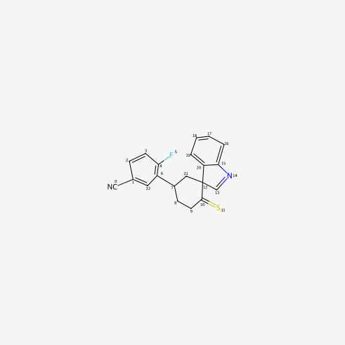 N#Cc1ccc(F)c(C2CCC(=S)C3(C=Nc4ccccc43)C2)c1